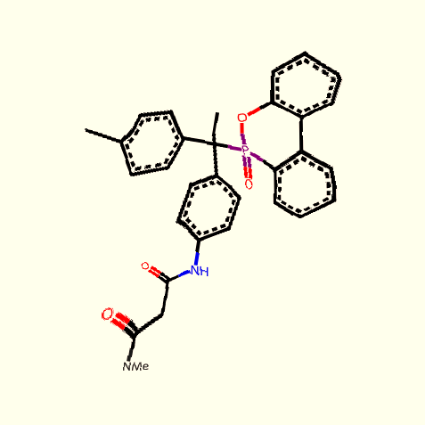 CNC(=O)CC(=O)Nc1ccc(C(C)(c2ccc(C)cc2)P2(=O)Oc3ccccc3-c3ccccc32)cc1